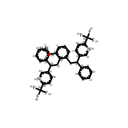 NC(=O)c1cccc(CC(c2ccccc2)c2ccc(C(F)(F)F)nc2)c1CC(c1ccccc1)c1ccc(C(F)(F)F)nc1